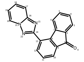 O=C1c2ccccc2-c2c1cccc2-c1nc2ccccn2n1